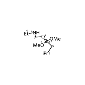 CCNCO[Si](CC(C)C)(OC)OC